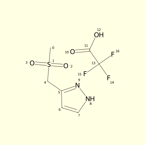 CS(=O)(=O)Cc1cc[nH]n1.O=C(O)C(F)(F)F